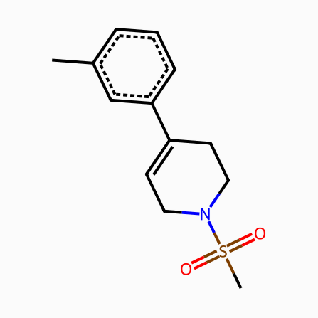 Cc1cccc(C2=CCN(S(C)(=O)=O)CC2)c1